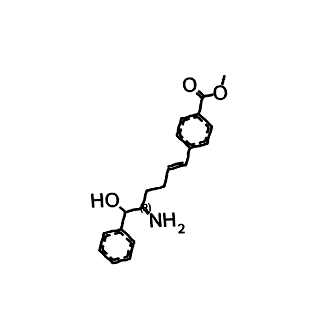 COC(=O)c1ccc(C=CCC[C@@H](N)C(O)c2ccccc2)cc1